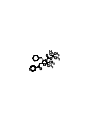 CC(C)(C)OC(=O)N1[C@@H](CC2CCCCC2)[C@H](CC(=O)c2ccncc2)OC1(C)C